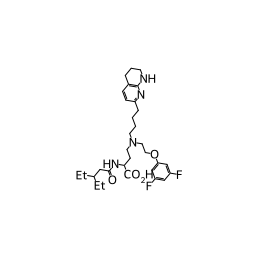 CCC(CC)CC(=O)NC(CCN(CCCCc1ccc2c(n1)NCCC2)CCOc1cc(F)cc(F)c1)C(=O)O